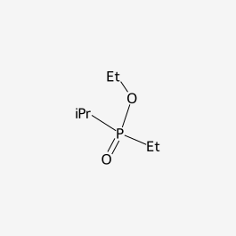 CCOP(=O)(CC)C(C)C